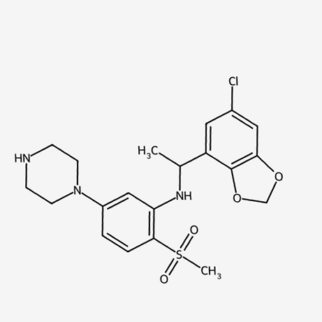 CC(Nc1cc(N2CCNCC2)ccc1S(C)(=O)=O)c1cc(Cl)cc2c1OCO2